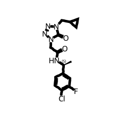 C[C@H](NC(=O)Cn1nnn(CC2CC2)c1=O)c1ccc(Cl)c(F)c1